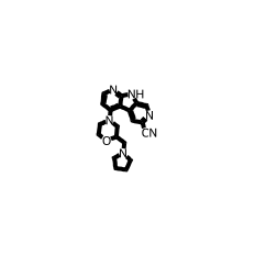 N#Cc1cc2c(cn1)[nH]c1nccc(N3CCOC(CN4CCCC4)C3)c12